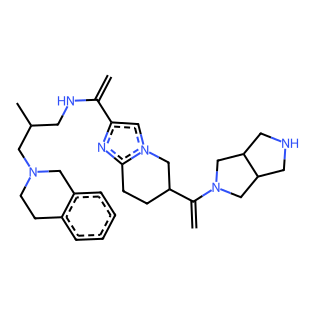 C=C(NCC(C)CN1CCc2ccccc2C1)c1cn2c(n1)CCC(C(=C)N1CC3CNCC3C1)C2